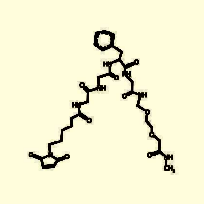 CNC(=O)COCCOCNC(=O)CNC(=O)[C@H](Cc1ccccc1)NC(=O)CNC(=O)CNC(=O)CCCCCN1C(=O)C=CC1=O